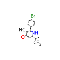 CC(c1cc(=O)c(C#N)c(-c2ccc(Br)cc2)[nH]1)C(F)(F)F